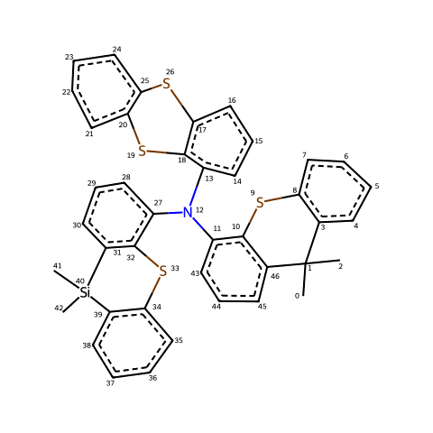 CC1(C)c2ccccc2Sc2c(N(c3cccc4c3Sc3ccccc3S4)c3cccc4c3Sc3ccccc3[Si]4(C)C)cccc21